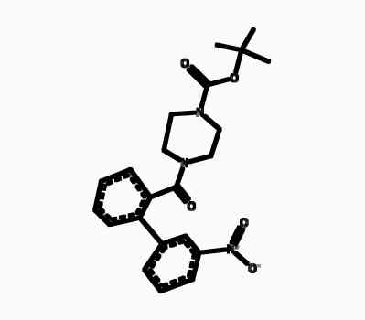 CC(C)(C)OC(=O)N1CCN(C(=O)c2ccccc2-c2cccc([N+](=O)[O-])c2)CC1